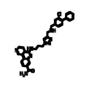 NC(=O)c1ccc2c(c1)nc(NCCCn1cc(CNCc3ccc(-c4ccccc4)c(Cl)c3)nn1)c1ccncc12